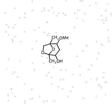 COC1CC(O)C2(C)OCC1(C)O2